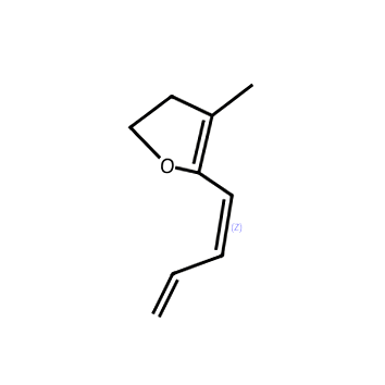 C=C/C=C\C1=C(C)CCO1